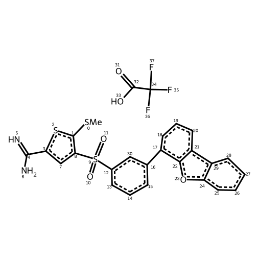 CSc1sc(C(=N)N)cc1S(=O)(=O)c1cccc(-c2cccc3c2oc2ccccc23)c1.O=C(O)C(F)(F)F